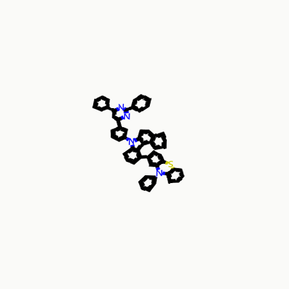 c1ccc(-c2cc(-c3cccc(-n4c5cccc(-c6ccc7c(c6)N(c6ccccc6)c6ccccc6S7)c5c5c6ccccc6ccc54)c3)nc(-c3ccccc3)n2)cc1